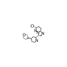 Clc1ccc2ncc(-c3cc([C@H]4CCOC4)ccn3)n2n1